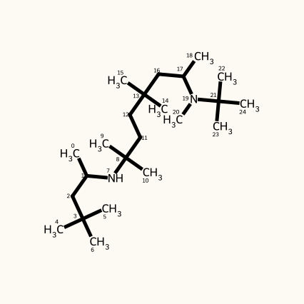 CC(CC(C)(C)C)NC(C)(C)CCC(C)(C)CC(C)N(C)C(C)(C)C